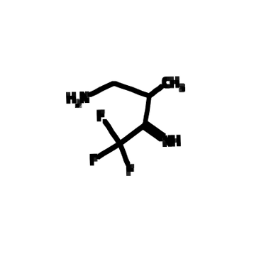 CC(CN)C(=N)C(F)(F)F